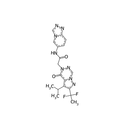 CC(C)c1c(C(C)(F)F)nn2cnn(CC(=O)Nc3ccc4nncn4c3)c(=O)c12